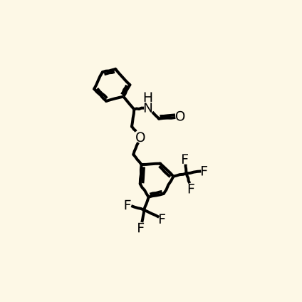 O=CNC(COCc1cc(C(F)(F)F)cc(C(F)(F)F)c1)c1ccccc1